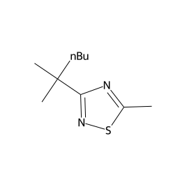 CCCCC(C)(C)c1nsc(C)n1